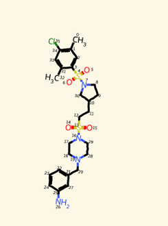 Cc1cc(S(=O)(=O)N2CCC(CCS(=O)(=O)N3CCN(Cc4cccc(N)c4)CC3)C2)c(C)cc1Cl